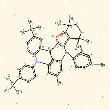 Cc1cc2c3c(c1)N(c1ccc(C(C)(C)C)cc1)c1c(oc4c1C(C)(C)CCC4(C)C)B3c1cc([Si](C)(C)C)ccc1N2c1ccc([Si](C)(C)C)cc1